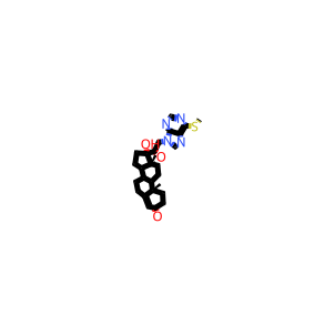 CSc1ncnc2c1ncn2CC(=O)C1(O)CCC2C3CCC4=CC(=O)CC[C@@]4(C)C3CC[C@]21C